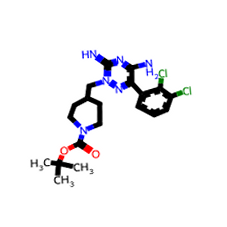 CC(C)(C)OC(=O)N1CCC(Cn2nc(-c3cccc(Cl)c3Cl)c(N)nc2=N)CC1